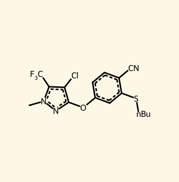 CCCCSc1cc(Oc2nn(C)c(C(F)(F)F)c2Cl)ccc1C#N